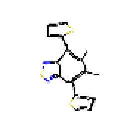 Cc1c(C)c(-c2cccs2)c2nsnc2c1-c1cccs1